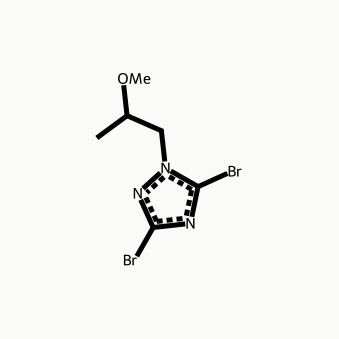 COC(C)Cn1nc(Br)nc1Br